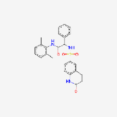 Cc1cccc(C)c1NC(=O)C(NS(=O)(=O)c1ccc2c(c1)CCC(=O)N2)c1ccccc1